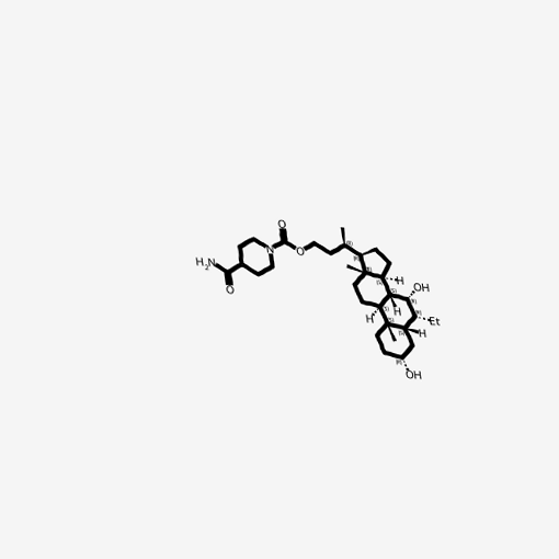 CC[C@H]1[C@@H](O)[C@@H]2[C@H](CC[C@]3(C)[C@@H]([C@H](C)CCOC(=O)N4CCC(C(N)=O)CC4)CC[C@@H]23)[C@@]2(C)CC[C@@H](O)C[C@@H]12